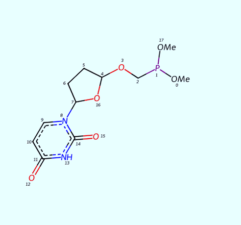 COP(COC1CCC(n2ccc(=O)[nH]c2=O)O1)OC